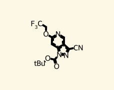 CC(C)(C)OC(=O)n1nc(C#N)c2cnc(OCC(F)(F)F)cc21